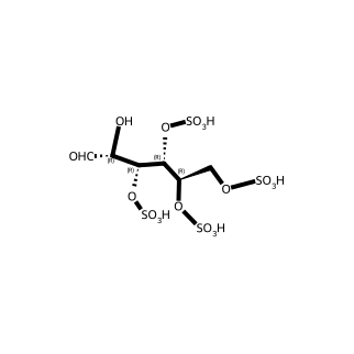 O=C[C@H](O)[C@@H](OS(=O)(=O)O)[C@H](OS(=O)(=O)O)[C@@H](COS(=O)(=O)O)OS(=O)(=O)O